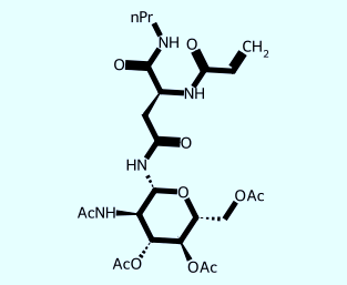 C=CC(=O)N[C@@H](CC(=O)N[C@@H]1O[C@H](COC(C)=O)[C@@H](OC(C)=O)[C@H](OC(C)=O)[C@H]1NC(C)=O)C(=O)NCCC